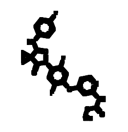 CC(C)(C)OC(=O)Nc1cc(Oc2cc(F)c(NC(=O)C3(C(=O)Nc4ccc(F)cc4)CC3)cc2F)ccn1